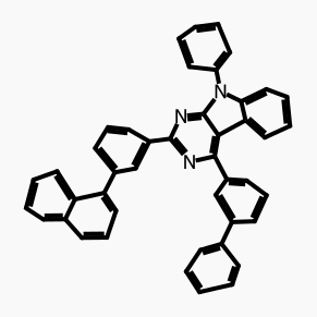 c1ccc(-c2cccc(-c3nc(-c4cccc(-c5cccc6ccccc56)c4)nc4c3c3ccccc3n4-c3ccccc3)c2)cc1